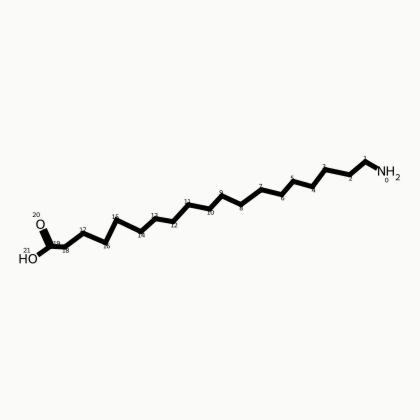 NCCCCCCCCCCCCCCCCCCC(=O)O